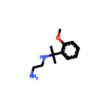 COc1ccccc1C(C)(C)NCCN